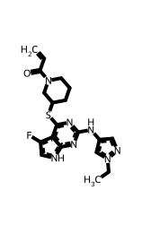 C=CC(=O)N1CCCC(Sc2nc(Nc3cnn(CC)c3)nc3[nH]cc(F)c23)C1